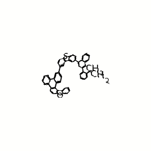 C=Cc1ccccc1-c1cc(-c2ccc3sc4ccc(-c5ccc6c(c5)c5ccccc5c5ccc7oc8ccccc8c7c56)cc4c3c2)c2ccccc2c1C